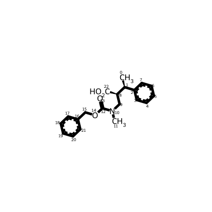 C[C@@H](c1ccccc1)[C@@H](CN(C)C(=O)OCc1ccccc1)C(=O)O